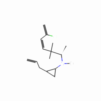 C=CCC1CC1N(CC)[C@H](C)C(C)(C)/C=C\C(=C)Cl